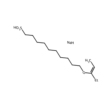 CC=C(CC)OCCCCCCCCCCS(=O)(=O)O.[NaH]